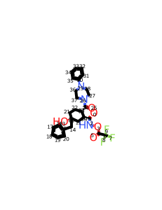 O=C(NOC(=O)C(F)(F)F)[C@H]1C[C@@](O)(Cc2ccccc2)CC[C@@H]1C(=O)N1CCN(c2ccccc2)CC1